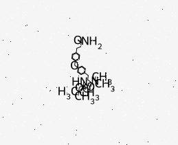 CN(C)C(=O)C(Cc1ccc(Oc2ccc(CCC(N)=O)cc2)cc1)NC(=O)OC(C)(C)C